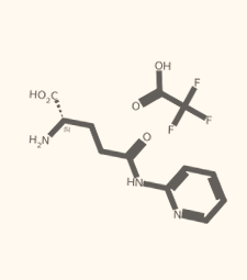 N[C@@H](CCC(=O)Nc1ccccn1)C(=O)O.O=C(O)C(F)(F)F